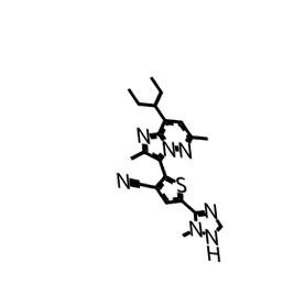 CCC(CC)c1cc(C)nn2c(-c3sc(C4=NCNN4C)cc3C#N)c(C)nc12